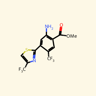 COC(=O)c1cc(C(F)(F)F)c(-c2nc(C(F)(F)F)cs2)cc1N